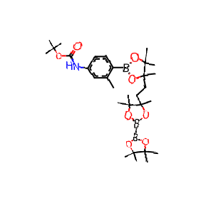 Cc1cc(NC(=O)OC(C)(C)C)ccc1B1OC(C)(C)C(C)(CCC2(C)OB(B3OC(C)(C)C(C)(C)O3)OC2(C)C)O1